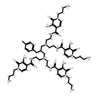 Cc1ccc(CC(CN(CCNC(=O)c2ccn(CCCO)c(=O)c2O)CCNC(=O)c2ccn(CCCO)c(=O)c2O)CN(CCNC(=O)c2ccn(CCCO)c(=O)c2O)CCNC(=O)c2ccn(CCCO)c(=O)c2O)cc1